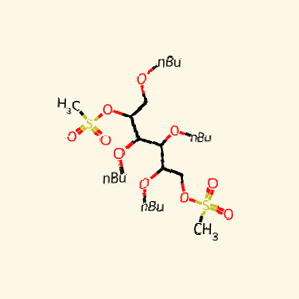 CCCCOCC(OS(C)(=O)=O)C(OCCCC)C(OCCCC)C(COS(C)(=O)=O)OCCCC